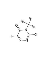 [2H]C([2H])([2H])n1c(Cl)ncc(I)c1=O